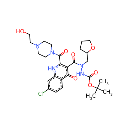 CC(C)(C)OC(=O)NN(CC1CCCO1)C(=O)c1c(C(=O)N2CCN(CCO)CC2)[nH]c2cc(Cl)ccc2c1=O